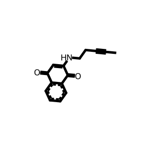 CC#CCCNC1=CC(=O)c2ccccc2C1=O